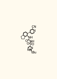 CC(C)(C)n1ncc(S(=O)(=O)NC(=O)Nc2c(-c3ccnc(C#N)c3)ccc3c2CCC3)n1